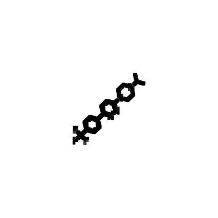 CC(C)N1CCN(c2ccc(-c3ccc(C(F)(F)F)cc3)nn2)CC1